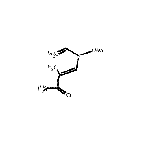 C=CN(C=O)C=C(C)C(N)=O